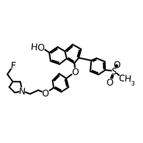 CS(=O)(=O)c1ccc(-c2ccc3cc(O)ccc3c2Oc2ccc(OCCN3CCC(CF)C3)cc2)cc1